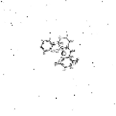 O=S1(=O)[C@@H](c2ccccc2)CCCN1Cc1cc(F)ccc1F